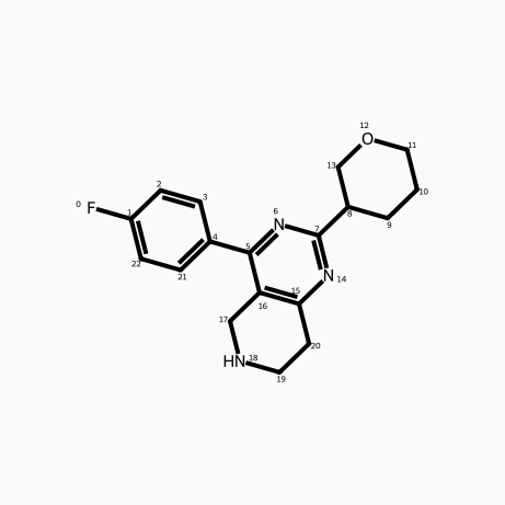 Fc1ccc(-c2nc(C3CCCOC3)nc3c2CNCC3)cc1